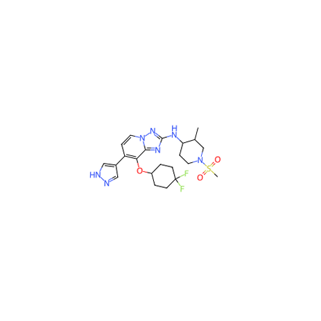 CC1CN(S(C)(=O)=O)CCC1Nc1nc2c(OC3CCC(F)(F)CC3)c(-c3cn[nH]c3)ccn2n1